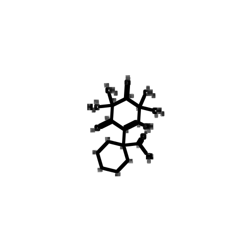 CCC(=O)C1(C2=C(O)C(C)(C)C(=O)C(C)(C)C2=O)CCCCC1